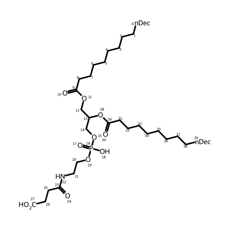 CCCCCCCCCCCCCCCCCCC(=O)OCC(COP(=O)(O)OCCNC(=O)CCC(=O)O)OC(=O)CCCCCCCCCCCCCCCCCC